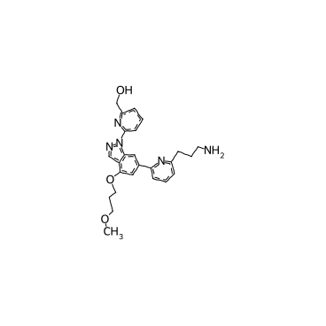 COCCCOc1cc(-c2cccc(CCCN)n2)cc2c1cnn2-c1cccc(CO)n1